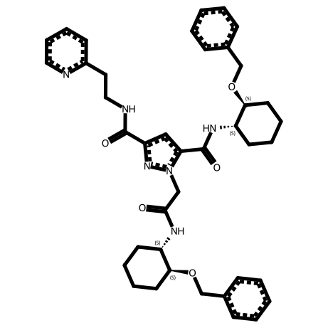 O=C(Cn1nc(C(=O)NCCc2ccccn2)cc1C(=O)N[C@H]1CCCC[C@@H]1OCc1ccccc1)N[C@H]1CCCC[C@@H]1OCc1ccccc1